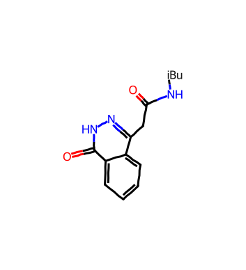 CCC(C)NC(=O)Cc1n[nH]c(=O)c2ccccc12